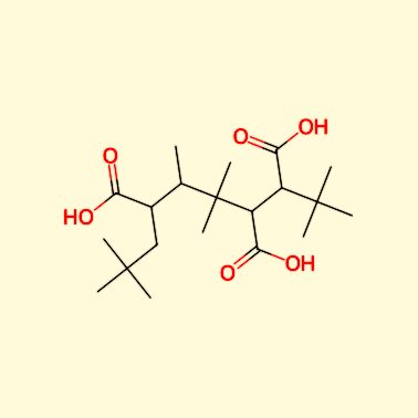 CC(C(CC(C)(C)C)C(=O)O)C(C)(C)C(C(=O)O)C(C(=O)O)C(C)(C)C